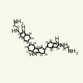 NCCNc1cc2cc(-c3ccc4[nH]c5ccc(-c6ccc7[nH]c(NCCN)cc7c6)cc5c4c3)ccc2[nH]1